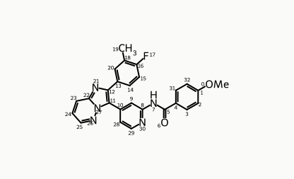 COc1ccc(C(=O)Nc2cc(-c3c(-c4ccc(F)c(C)c4)nc4cccnn34)ccn2)cc1